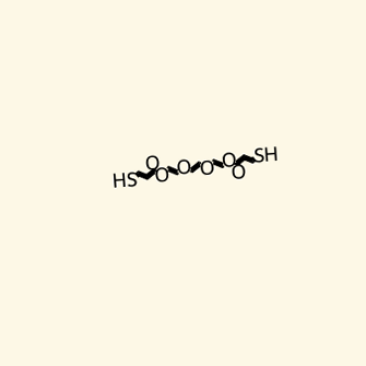 O=C(CCS)OCCOCCOCCOC(=O)CCS